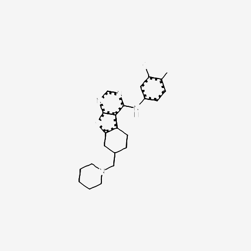 Fc1ccc(Nc2ncnc3sc4c(c23)CCC(CN2CCCCC2)C4)cc1Cl